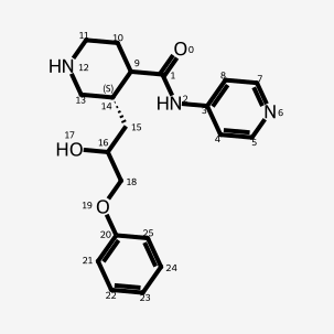 O=C(Nc1ccncc1)C1CCNC[C@H]1CC(O)COc1ccccc1